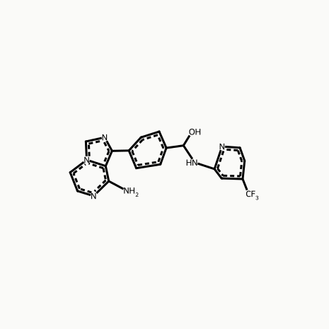 Nc1nccn2cnc(-c3ccc(C(O)Nc4cc(C(F)(F)F)ccn4)cc3)c12